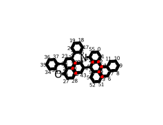 c1cc(-c2cccc3ccccc23)cc(N(c2ccccc2-c2cc3c4c(cccc4c2)Oc2ccccc2-3)c2ccccc2-c2cccc3ccccc23)c1